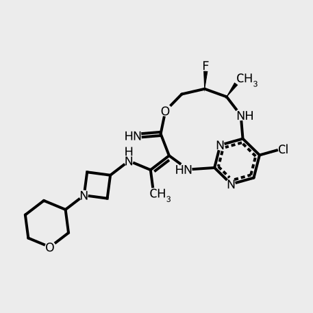 C/C(NC1CN(C2CCCOC2)C1)=C1\Nc2ncc(Cl)c(n2)N[C@H](C)[C@H](F)COC1=N